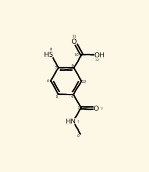 CNC(=O)c1ccc(S)c(C(=O)O)c1